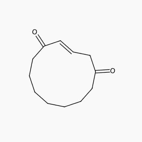 O=C1/C=C/CC(=O)CCCCCCC1